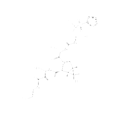 CCCC(NC(=O)[C@@H]1[C@@H]2[C@H](CN1C(=O)[C@@H](NC(=O)N[C@H](CN(C)S(=O)(=O)c1cccs1)[C@@H](C)CC)C(C)(C)C)C2(C)C)C(=O)C(=O)NCCC(F)(F)F